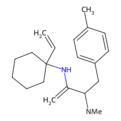 C=CC1(NC(=C)C(Cc2ccc(C)cc2)NC)CCCCC1